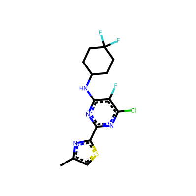 Cc1csc(-c2nc(Cl)c(F)c(NC3CCC(F)(F)CC3)n2)n1